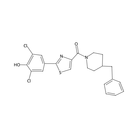 O=C(c1csc(-c2cc(Cl)c(O)c(Cl)c2)n1)N1CCC(Cc2ccccc2)CC1